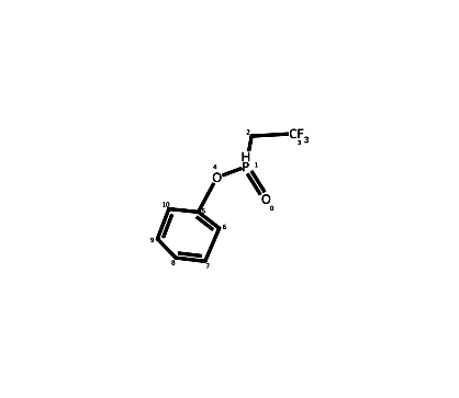 O=[PH](CC(F)(F)F)Oc1ccccc1